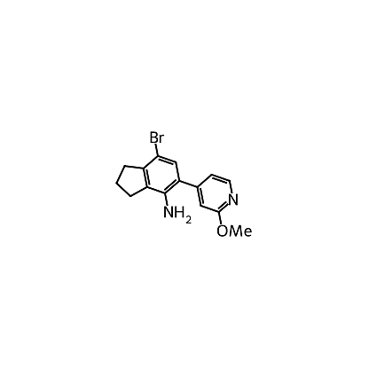 COc1cc(-c2cc(Br)c3c(c2N)CCC3)ccn1